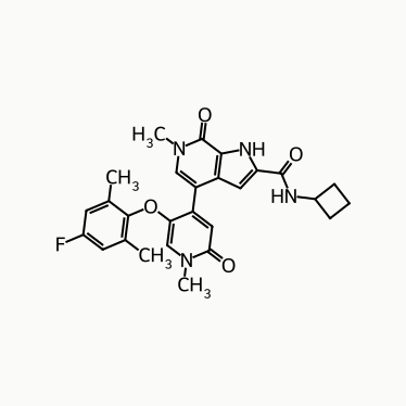 Cc1cc(F)cc(C)c1Oc1cn(C)c(=O)cc1-c1cn(C)c(=O)c2[nH]c(C(=O)NC3CCC3)cc12